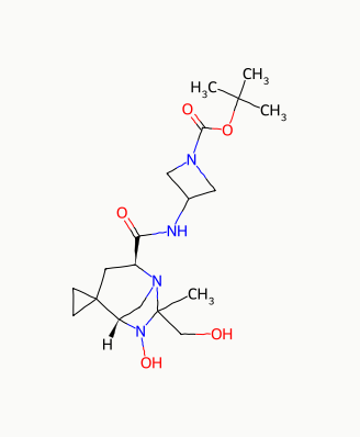 CC(C)(C)OC(=O)N1CC(NC(=O)[C@@H]2CC3(CC3)[C@@H]3CN2C(C)(CO)N3O)C1